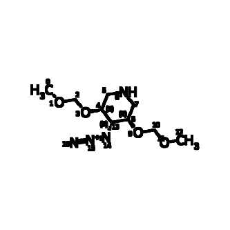 COCO[C@H]1CNC[C@@H](OCOC)[C@@H]1N=[N+]=[N-]